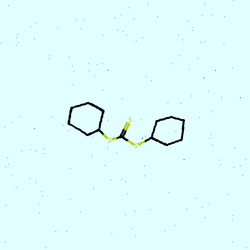 S=C(SC1CCCCC1)SC1CCCCC1